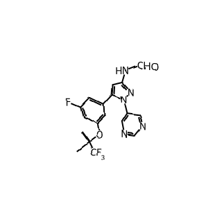 CC(C)(Oc1cc(F)cc(-c2cc(NC=O)nn2-c2cncnc2)c1)C(F)(F)F